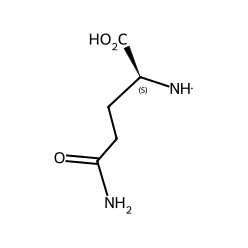 [NH][C@@H](CCC(N)=O)C(=O)O